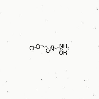 Cn1c(CCC(C)(N)CO)ccc1C(=O)CCCc1ccc(Cl)cc1